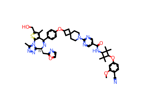 COc1cc(OC2C(C)(C)C(NC(=O)c3cnc(N4CCC5(CC4)CC(Oc4ccc(C6=N[C@@H](Cc7ncco7)c7nnc(C)n7-c7sc(CO)c(C)c76)cc4)C5)nc3)C2(C)C)ccc1C#N